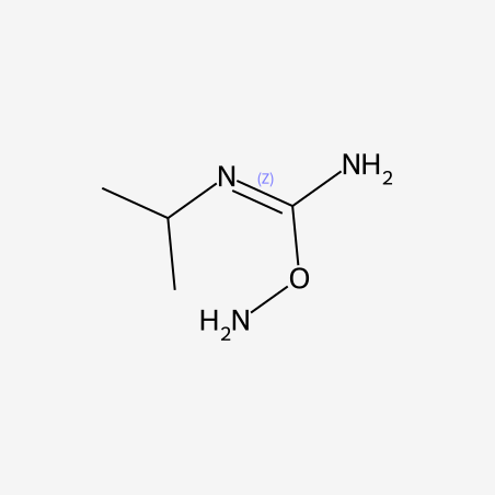 CC(C)/N=C(/N)ON